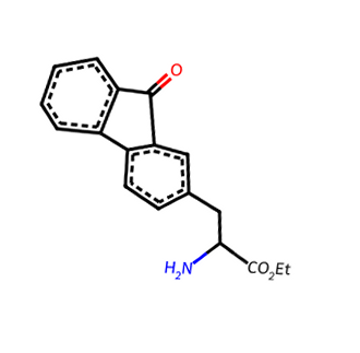 CCOC(=O)C(N)Cc1ccc2c(c1)C(=O)c1ccccc1-2